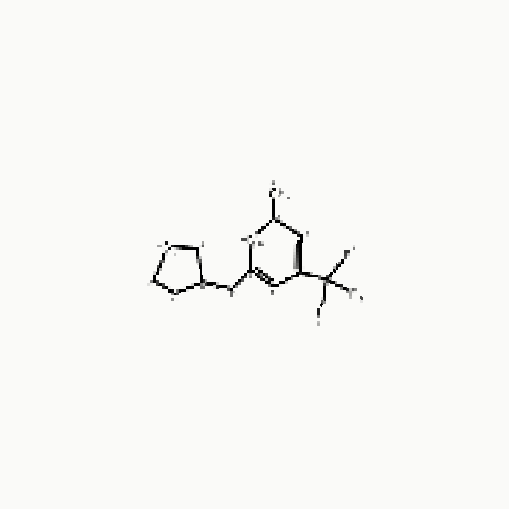 CC1C=C(C(F)(F)F)C=C(CC2CCNC2)N1